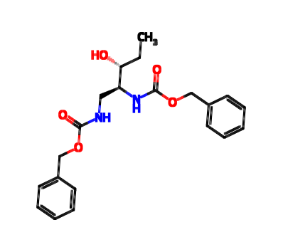 CC[C@@H](O)[C@H](CNC(=O)OCc1ccccc1)NC(=O)OCc1ccccc1